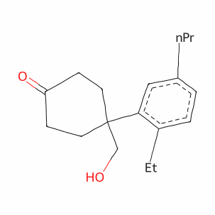 CCCc1ccc(CC)c(C2(CO)CCC(=O)CC2)c1